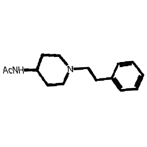 CC(=O)NC1CCN(CCc2ccccc2)CC1